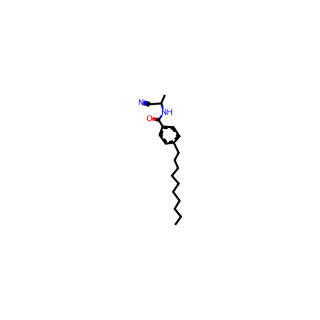 CCCCCCCCCCc1ccc(C(=O)NC(C)C#N)cc1